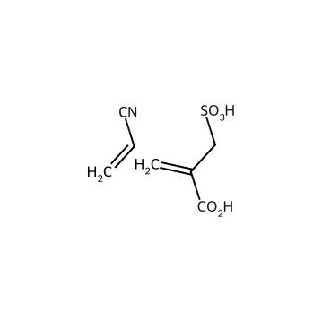 C=C(CS(=O)(=O)O)C(=O)O.C=CC#N